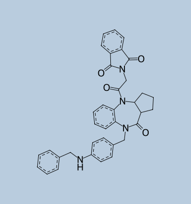 O=C1c2ccccc2C(=O)N1CC(=O)N1c2ccccc2N(Cc2ccc(NCc3ccccc3)cc2)C(=O)C2CCCC21